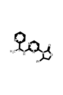 CC(C)C1COC(=O)N1c1ccnc(N[C@@H](C)c2ccccn2)n1